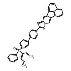 C=C/C=C(\C=C)P(=O)(c1ccccc1)c1ccc(-c2ccc(-c3nc4cc5c(cn4n3)c3cccc4cccc5c43)cc2)cc1